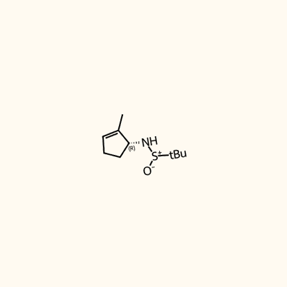 CC1=CCC[C@H]1N[S+]([O-])C(C)(C)C